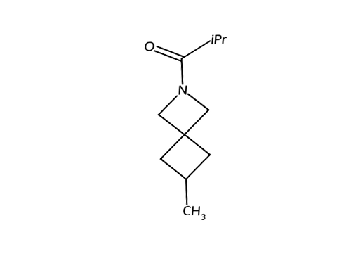 CC1CC2(C1)CN(C(=O)C(C)C)C2